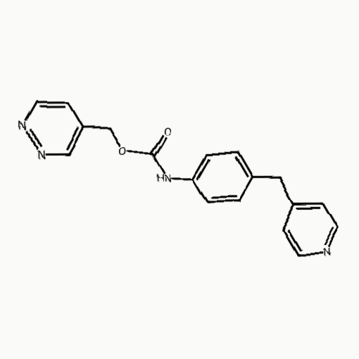 O=C(Nc1ccc(Cc2ccncc2)cc1)OCc1ccnnc1